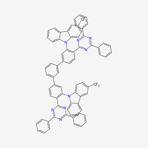 FC(F)(F)c1ccc2c(c1)c1ccccc1n2-c1cc(-c2cccc(-c3ccc(-c4nc(-c5ccccc5)nc(-c5ccccc5)n4)c(-n4c5ccccc5c5cc(C(F)(F)F)ccc54)c3)c2)ccc1-c1nc(-c2ccccc2)nc(-c2ccccc2)n1